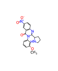 COc1cccc(-n2c(C3CCCN3)nc3ccc([N+](=O)[O-])cc3c2=O)c1